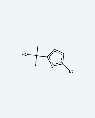 [CH2]Cc1ccc(C(C)(C)O)s1